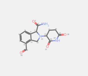 NC(=O)C1c2cccc([C]=O)c2CN1C1CCC(=O)NC1=O